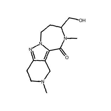 CN1CCc2nn3c(c2C1)C(=O)N(C)C(CO)CC3